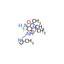 Cc1cccnc1CCCNc1c(F)c(N)c2c(=O)c(C)cn3c2c1OCC3(C)C